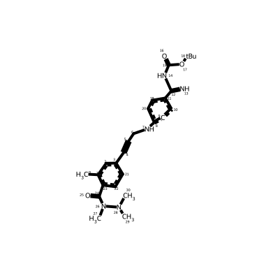 Cc1cc(C#CCNc2ccc(C(=N)NC(=O)OC(C)(C)C)cc2)ccc1C(=O)N(C)N(C)C